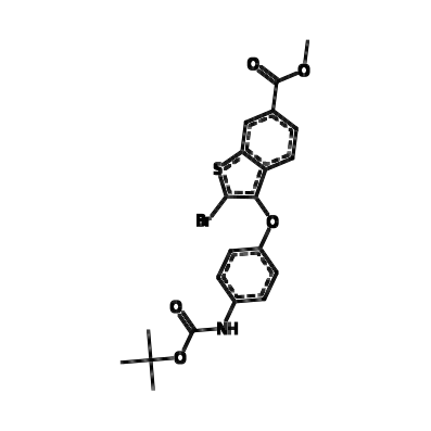 COC(=O)c1ccc2c(Oc3ccc(NC(=O)OC(C)(C)C)cc3)c(Br)sc2c1